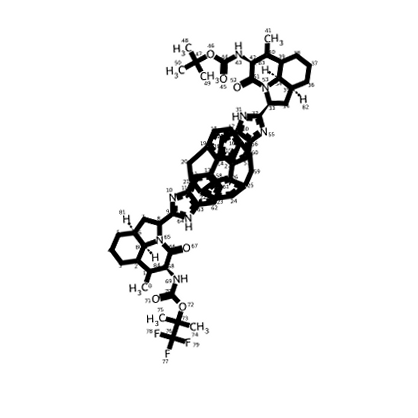 CC1C2CCC[C@H]3CC(c4nc5cc(-c6cc7ccc6CCc6ccc(c(-c8ccc9[nH]c([C@@H]%10C[C@@H]%11CCCC%12C(C)[C@H](NC(=O)OC(C)(C)C)C(=O)N%10[C@@H]%12%11)nc9c8)c6)CC7)ccc5[nH]4)N(C(=O)[C@H]1NC(=O)OC(C)(C)C(F)(F)F)[C@@H]23